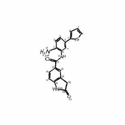 Nc1ccc(-c2cccs2)cc1NC(=O)c1ccc2c(c1)CC(=O)N2